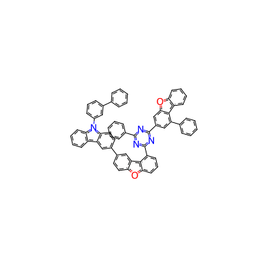 c1ccc(-c2cccc(-n3c4ccccc4c4cc(-c5ccc6oc7cccc(-c8nc(-c9ccccc9)nc(-c9cc(-c%10ccccc%10)c%10c(c9)oc9ccccc9%10)n8)c7c6c5)ccc43)c2)cc1